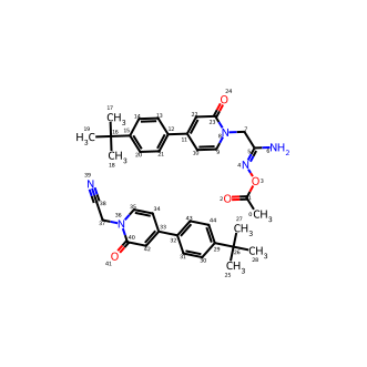 CC(=O)ON=C(N)Cn1ccc(-c2ccc(C(C)(C)C)cc2)cc1=O.CC(C)(C)c1ccc(-c2ccn(CC#N)c(=O)c2)cc1